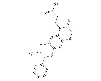 CCC(Oc1cc2c(cc1Cl)N(CCC(=O)O)C(=O)CO2)c1ncccn1